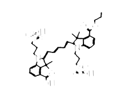 CCCOC(=O)c1cccc2c1C(C)(C)C(/C=C/C=C/C=C1/N(CCCS(=O)(=O)O)c3cccc(C(=O)O)c3C1(C)C)=[N+]2CCCS(=O)(=O)O